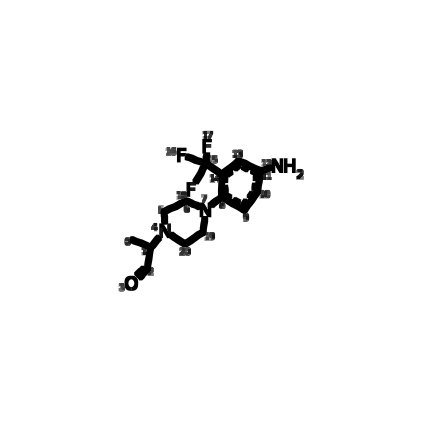 CC(C=O)N1CCN(c2ccc(N)cc2C(F)(F)F)CC1